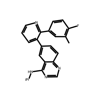 Cc1cc(-c2ncccc2-c2ccc3ncnc(NC(C)C)c3c2)ccc1F